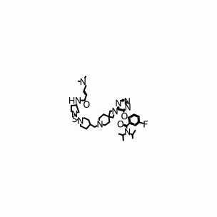 CC(C)N(C(=O)c1cc(F)ccc1Oc1nncnc1N1CC2(CCN(CC3CCN(SN4CC[C@@H](NC(=O)/C=C/CN(C)C)C4)CC3)CC2)C1)C(C)C